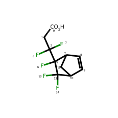 O=C(O)CC(F)(F)C1(F)C2C=CC(C2)C1(F)F